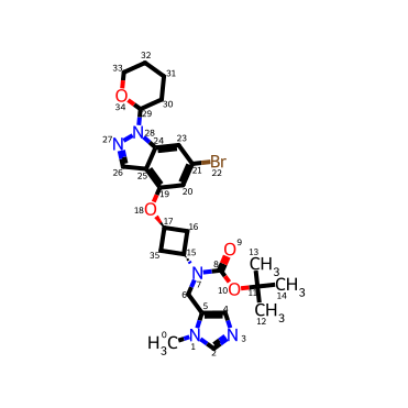 Cn1cncc1CN(C(=O)OC(C)(C)C)[C@H]1C[C@H](Oc2cc(Br)cc3c2cnn3C2CCCCO2)C1